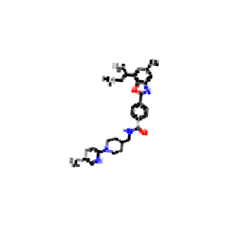 CC=C(C)c1cc(C#N)cc2nc(-c3ccc(C(=O)NCC4CCN(c5ccc(C(F)(F)F)cn5)CC4)cc3)oc12